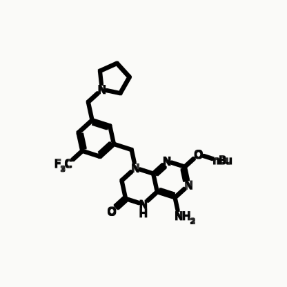 CCCCOc1nc(N)c2c(n1)N(Cc1cc(CN3CCCC3)cc(C(F)(F)F)c1)CC(=O)N2